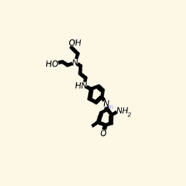 CC1=C/C(=N\c2ccc(NCCCN(CCO)CCO)cc2)C(N)=CC1=O